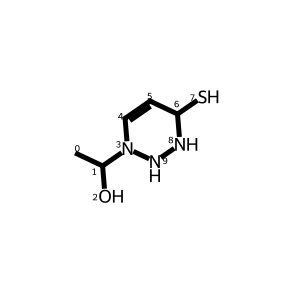 CC(O)N1C=CC(S)NN1